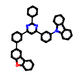 c1ccc(-c2nc(-c3cccc(-c4ccc5oc6ccccc6c5c4)c3)cc(-c3cccc(-n4c5ccccc5c5ccccc54)c3)n2)cc1